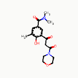 Bc1cc(C(=O)N(C)C)cc(C(=O)CC(=O)N2CCOCC2)c1O